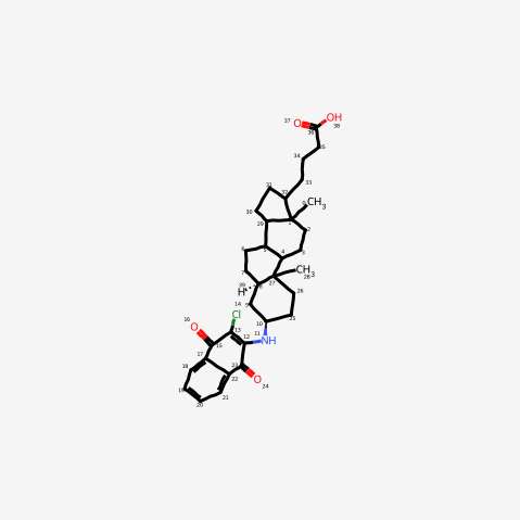 CC12CCC3C(CC[C@@H]4C[C@H](NC5=C(Cl)C(=O)c6ccccc6C5=O)CCC34C)C1CCC2CCCC(=O)O